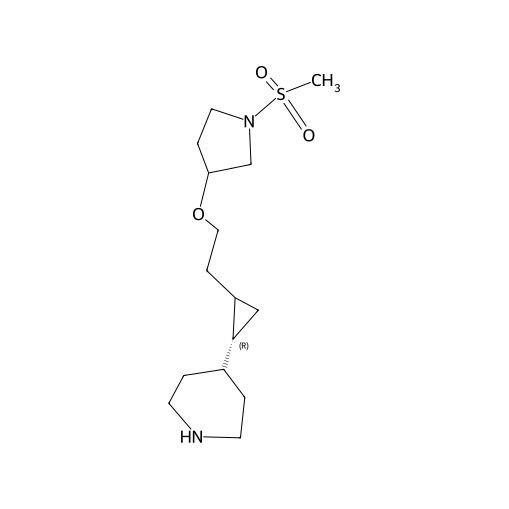 CS(=O)(=O)N1CCC(OCCC2C[C@@H]2C2CCNCC2)C1